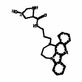 O=C(NCCCN1CCCn2c3ccccc3c3nc4ccccc4c1c32)C1C[C@@H](O)CN1